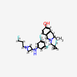 C[C@@H]1Cc2cc(O)ccc2[C@@H](c2c(F)cc(NC3CN(CCCF)C3)cc2F)N1CC1(F)CC1